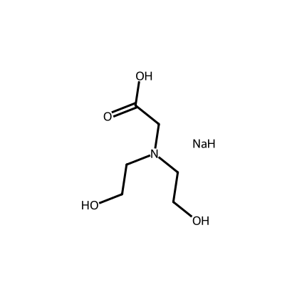 O=C(O)CN(CCO)CCO.[NaH]